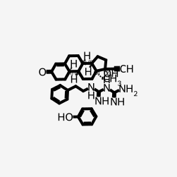 C#C[C@]1(O)CC[C@H]2[C@@H]3CCC4=CC(=O)CC[C@@H]4[C@H]3CC[C@@]21CC.N=C(N)NC(=N)NCCc1ccccc1.Oc1ccccc1